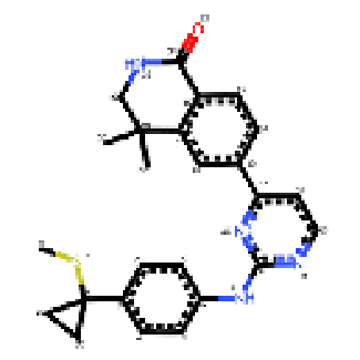 CSC1(c2ccc(Nc3nccc(-c4ccc5c(c4)C(C)(C)CNC5=O)n3)cc2)CC1